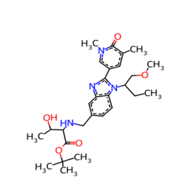 CCC(COC)n1c(-c2cc(C)c(=O)n(C)c2)nc2cc(CNC(C(=O)OC(C)(C)C)C(C)O)ccc21